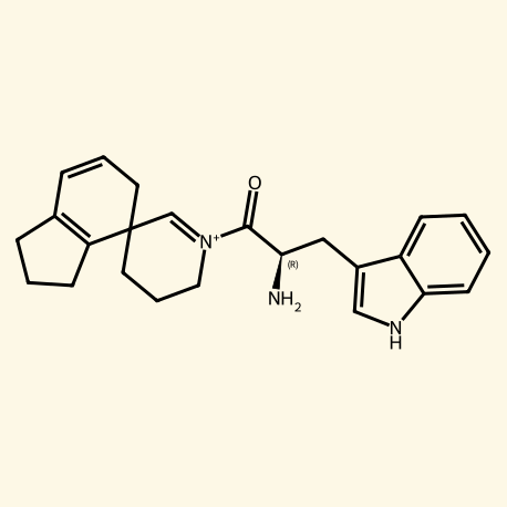 N[C@H](Cc1c[nH]c2ccccc12)C(=O)[N+]1=CC2(CC=CC3=C2CCC3)CCC1